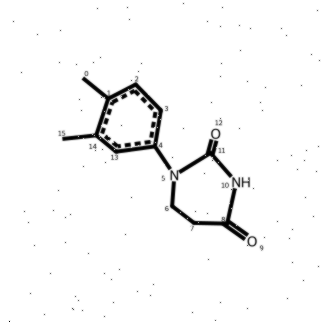 Cc1ccc(N2CCC(=O)NC2=O)cc1C